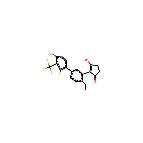 CCc1ccc(-c2ccc(Cl)c(C(F)(F)F)c2F)cc1C1=C(O)CCC1=O